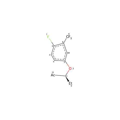 CC[C@H](Oc1ccc(F)c(C(F)(F)F)c1)C(C)=O